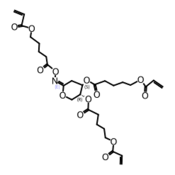 C=CC(=O)OCCCCC(=O)O/N=C1\C[C@H](OC(=O)CCCCOC(=O)C=C)[C@H](OC(=O)CCCCOC(=O)C=C)CO1